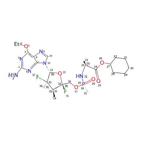 CCOc1nc(N)nc2c1ncn2[C@@H]1O[C@](F)(CO[P@](C)(=O)N[C@@H](C)C(=O)OC2CCCCC2)[C@@H](C)[C@@]1(C)F